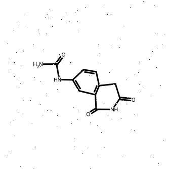 NC(=O)Nc1ccc2c(c1)C(=O)NC(=O)C2